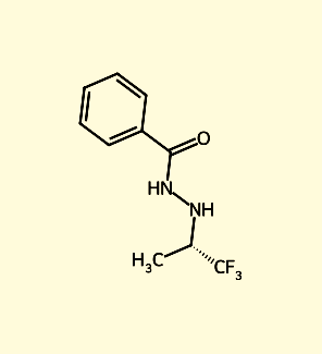 C[C@H](NNC(=O)c1ccccc1)C(F)(F)F